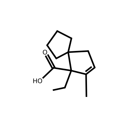 CCC1(C(=O)O)C(C)=CCC12CCCC2